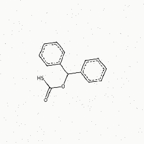 O=C(S)OC(c1ccccc1)c1ccccc1